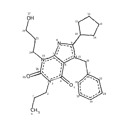 CCCn1c(=O)c2c(nc(C3CCCC3)n2Cc2ccccc2)n(CCCO)c1=O